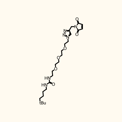 CC(C)(C)CCCCNC(=O)NCCOCCOCCOCCn1cc(CN2C(=O)C=CC2=O)nn1